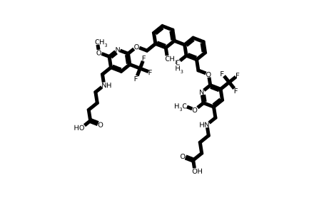 COc1nc(OCc2cccc(-c3cccc(COc4nc(OC)c(CNCCCC(=O)O)cc4C(F)(F)F)c3C)c2C)c(C(F)(F)F)cc1CNCCCC(=O)O